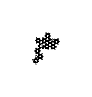 C1=C(c2ccccc2)N=C(c2cccc(C3=C(c4ccccc4)C(c4ccccc4)NC(c4ccccc4)=C3c3ccccc3)c2)NC1c1cccc(-c2cccc3c2oc2ccccc23)c1